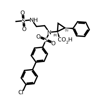 CS(=O)(=O)NCCN([C@]1(C(=O)O)C[C@H]1c1ccccc1)S(=O)(=O)c1ccc(-c2ccc(Cl)cc2)cc1